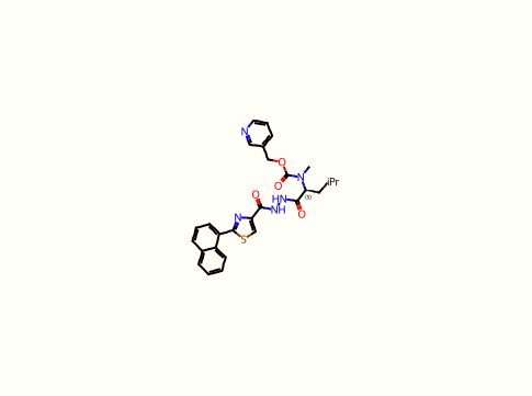 CC(C)C[C@@H](C(=O)NNC(=O)c1csc(-c2cccc3ccccc23)n1)N(C)C(=O)OCc1cccnc1